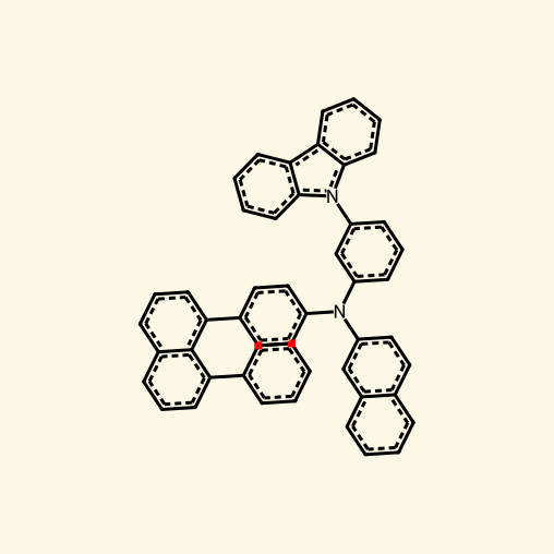 c1ccc(-c2cccc3cccc(-c4ccc(N(c5cccc(-n6c7ccccc7c7ccccc76)c5)c5ccc6ccccc6c5)cc4)c23)cc1